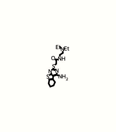 CCN(CC)CCNC(=O)CSc1nc(N)c2c3c(sc2n1)CCCC3